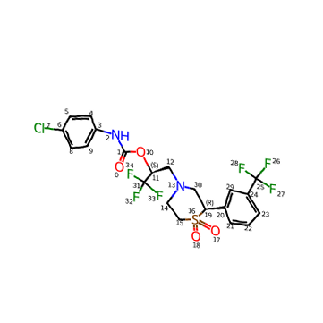 O=C(Nc1ccc(Cl)cc1)O[C@@H](CN1CCS(=O)(=O)[C@H](c2cccc(C(F)(F)F)c2)C1)C(F)(F)F